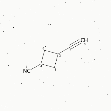 C#CC1CC(C#N)C1